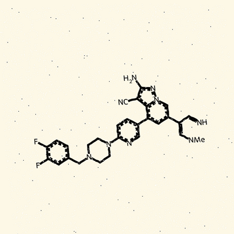 CN/C=C(\C=N)c1cc(-c2ccc(N3CCN(Cc4ccc(F)c(F)c4)CC3)nc2)c2c(C#N)c(N)nn2c1